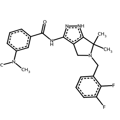 CN(C)c1cccc(C(=O)Nc2n[nH]c3c2CN(Cc2cccc(F)c2F)C3(C)C)c1